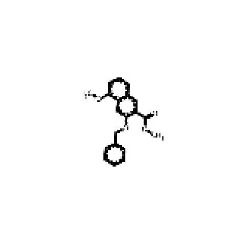 COC(=O)c1cc2cccc(OC)c2cc1OCc1ccccc1